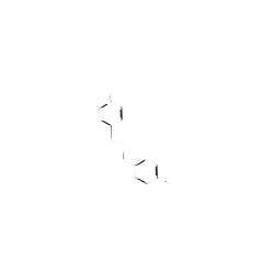 Fc1ccc(CSCc2ccc(F)cc2)cc1